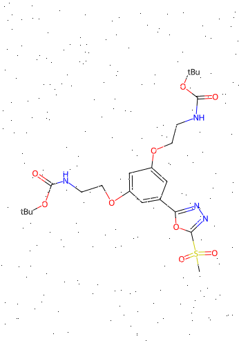 CC(C)(C)OC(=O)NCCOc1cc(OCCNC(=O)OC(C)(C)C)cc(-c2nnc(S(C)(=O)=O)o2)c1